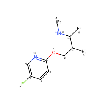 CCC(COc1ccc(F)cn1)C(CC)NC(C)C